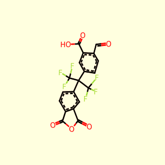 O=Cc1ccc(C(c2ccc3c(c2)C(=O)OC3=O)(C(F)(F)F)C(F)(F)F)cc1C(=O)O